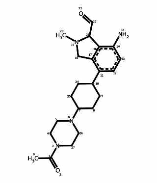 CC(=O)N1CCN(C2CCC(c3ccc(N)c4c3CN(C)C4C=O)CC2)CC1